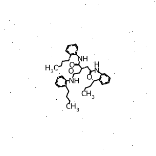 CCCCc1ccccc1NC(=O)CC(CC(=O)Nc1ccccc1CCCC)C(=O)Nc1ccccc1CCCC